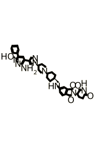 Nc1nnc(-c2ccccc2O)cc1-c1cnn(C2CCN([C@H]3CC[C@H](CNc4ccc5c(c4)C(=O)N(C4CCC(=O)NC4=O)C5=O)CC3)CC2)c1